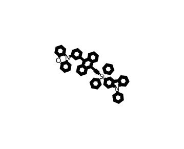 C(#C[Si](c1ccccc1)(c1ccccc1)c1ccc2c(c1)c1ccccc1n2-c1ccccc1)c1c2ccccc2c(-c2cccc(N3c4ccccc4Oc4ccccc43)c2)c2ccccc12